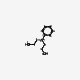 OCC[N+](CCO)c1ccccc1